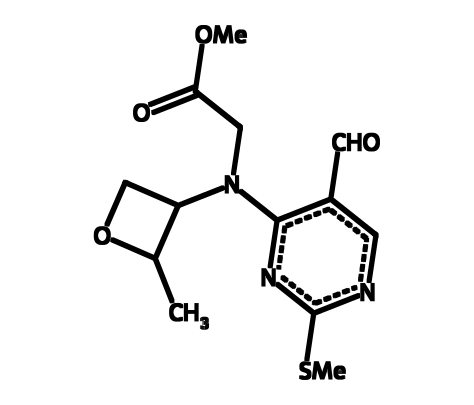 COC(=O)CN(c1nc(SC)ncc1C=O)C1COC1C